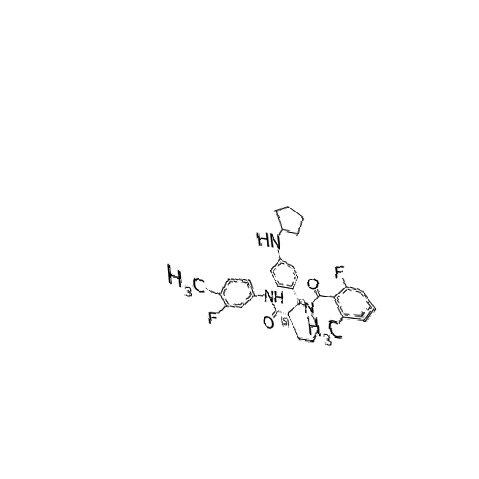 Cc1ccc(NC(=O)[C@H]2CCCN(C(=O)c3c(C)cccc3F)[C@H]2c2ccc(NC3CCCC3)cc2)cc1F